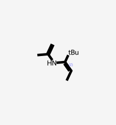 C=C(C)N/C(=C\C)C(C)(C)C